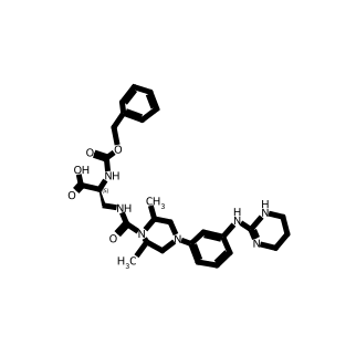 CC1CN(c2cccc(NC3=NCCCN3)c2)CC(C)N1C(=O)NC[C@H](NC(=O)OCc1ccccc1)C(=O)O